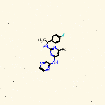 CC(=O)c1cc(Nc2cnccn2)nc(N[C@@H](C)c2ccc(F)cc2)n1